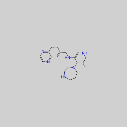 FC1=C(N2CCCNCC2)C(NCc2ccc3nccnc3c2)=CNC1